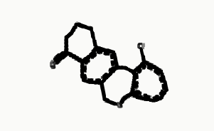 O=C1CCCc2cc3c(cc21)COc1cccc(Cl)c1-3